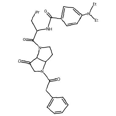 CCN(CC)c1ccc(C(=O)NC(CC(C)C)C(=O)N2CCC3C2C(=O)CN3C(=O)Cc2ccccc2)cc1